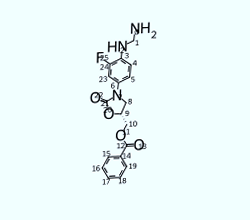 NCNc1ccc(N2C[C@H](COC(=O)c3ccccc3)OC2=O)cc1F